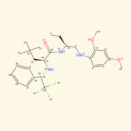 CC[C@@H](CNc1ccc(OC)cc1OC)NC(=O)[C@H](CC(C)(C)C)N[C@@H](c1ccccc1)C(F)(F)F